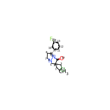 CC[C@@]1(CCl)CN2CC[C@H](c3cccc(F)c3)N2C1=O